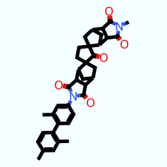 Cc1ccc(-c2ccc(N3C(=O)C4C5CC(C4C3=O)C3(CCC4(CC6CC4C4C(=O)N(C)C(=O)C64)C3=O)C5)cc2C)c(C)c1